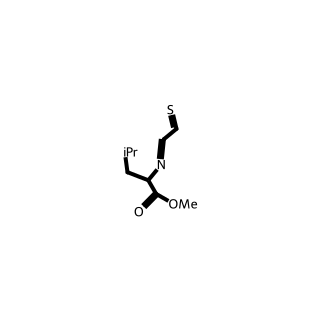 COC(=O)C(CC(C)C)N=CC=S